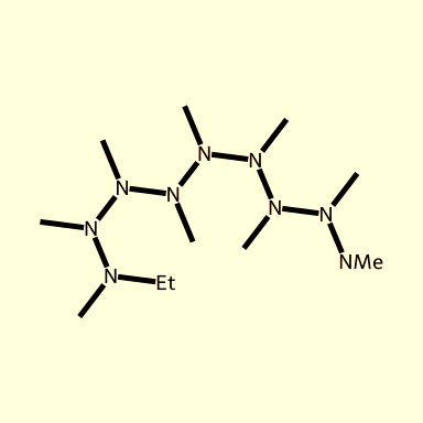 CCN(C)N(C)N(C)N(C)N(C)N(C)N(C)N(C)NC